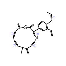 C=Cc1cc(/C2=N/C=C\C(=C)C(C)/C=C\C=C/C(=C)SC2=C)ccc1/C=C\C